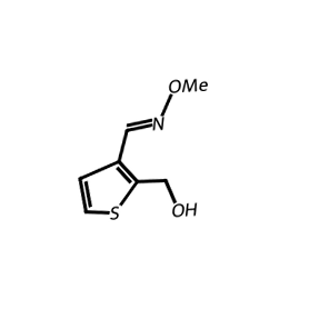 CON=Cc1ccsc1CO